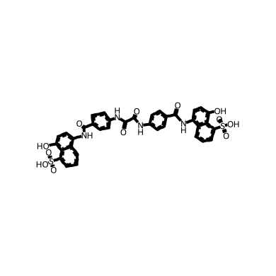 O=C(Nc1ccc(C(=O)Nc2ccc(O)c3c(S(=O)(=O)O)cccc23)cc1)C(=O)Nc1ccc(C(=O)Nc2ccc(O)c3c(S(=O)(=O)O)cccc23)cc1